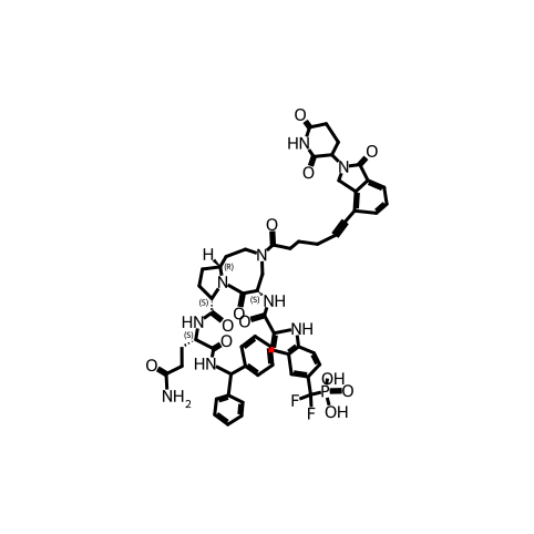 NC(=O)CC[C@H](NC(=O)[C@@H]1CC[C@@H]2CCN(C(=O)CCCC#Cc3cccc4c3CN(C3CCC(=O)NC3=O)C4=O)C[C@H](NC(=O)c3cc4cc(C(F)(F)P(=O)(O)O)ccc4[nH]3)C(=O)N21)C(=O)NC(c1ccccc1)c1ccccc1